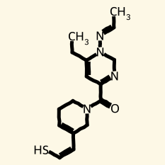 C/C=N/N1CN=C(C(=O)N2CCC=C(/C=C\S)C2)C=C1CC